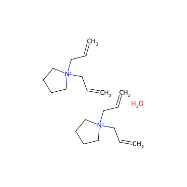 C=CC[N+]1(CC=C)CCCC1.C=CC[N+]1(CC=C)CCCC1.O